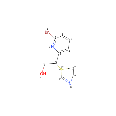 OCC(c1cccc(Br)n1)[S]1C=CN=C1